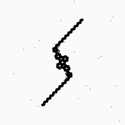 CCCCCCCCCCCCCCCCCCc1ccc(-c2ccc3c(c2)c2cccc4c2c3c2cccc3c5cc(-c6ccc(CCCCCCCCCCCCCCCCCC)s6)ccc5c4c32)s1